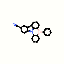 N#Cc1ccc2c(c1)c1cccc3c1n2-c1ccccc1B3c1ccccc1